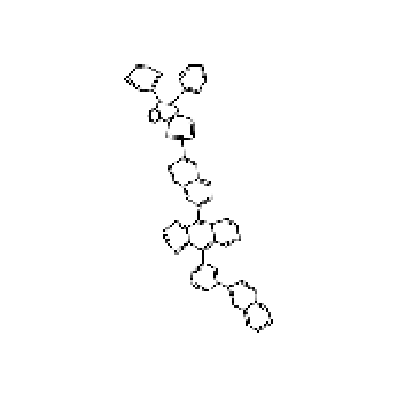 c1ccc(-c2oc3cc(-c4ccc5cc(-c6c7ccccc7c(-c7cccc(-c8ccc9ccccc9c8)c7)c7ccccc67)ccc5c4)ccc3c2-c2ccccc2)cc1